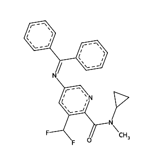 CN(C(=O)c1ncc(N=C(c2ccccc2)c2ccccc2)cc1C(F)F)C1CC1